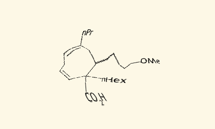 CCCCCCC1(C(=O)O)C=CC=C(CCC)C1CCOC